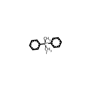 C[P+](C)(c1ccccc1)c1ccccc1.[I-]